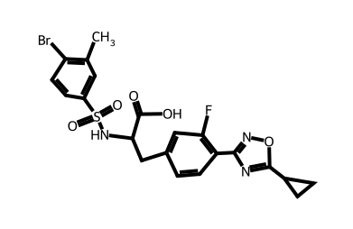 Cc1cc(S(=O)(=O)NC(Cc2ccc(-c3noc(C4CC4)n3)c(F)c2)C(=O)O)ccc1Br